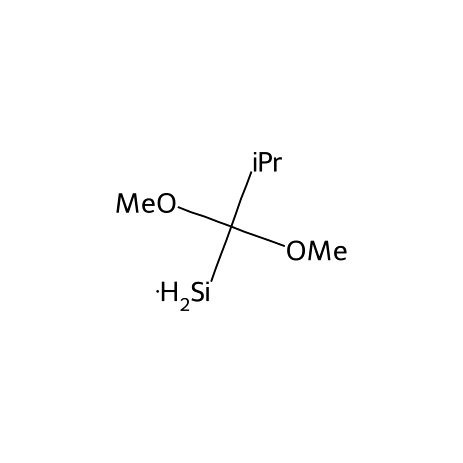 COC([SiH2])(OC)C(C)C